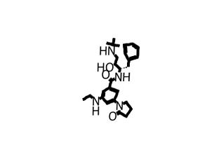 CCNc1cc(C(=O)N[C@@H](Cc2ccccc2)[C@@H](O)CNC(C)(C)C)cc(N2CCCC2=O)c1